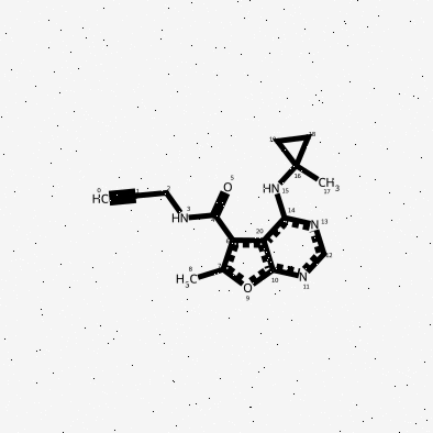 C#CCNC(=O)c1c(C)oc2ncnc(NC3(C)CC3)c12